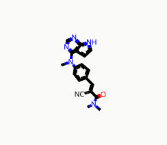 CN(C)C(=O)/C(C#N)=C/c1ccc(N(C)c2ncnc3[nH]ccc23)cc1